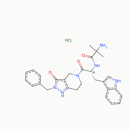 CC(C)(N)C(=O)N[C@H](Cc1c[nH]c2ccccc12)C(=O)N1CCc2[nH]n(Cc3ccccc3)c(=O)c2C1.Cl